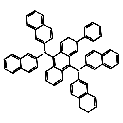 C1=Cc2cc(N(c3ccc4ccccc4c3)c3c4c(c(N(c5ccc6ccccc6c5)c5ccc6ccccc6c5)c5ccccc35)=CCC(c3ccccc3)C=4)ccc2CC1